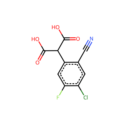 N#Cc1cc(Cl)c(F)cc1C(C(=O)O)C(=O)O